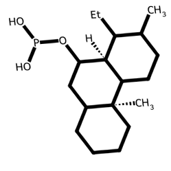 CCC1C(C)CCC2[C@H]1C(OP(O)O)CC1CCCC[C@@]12C